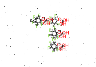 OB(O)Oc1c(F)c(F)c(F)c(F)c1F.OB(O)Oc1c(F)c(F)c(F)c(F)c1F.OB(O)Oc1c(F)c(F)c(F)c(F)c1F.OB(O)Oc1c(F)c(F)c(F)c(F)c1F.[K]